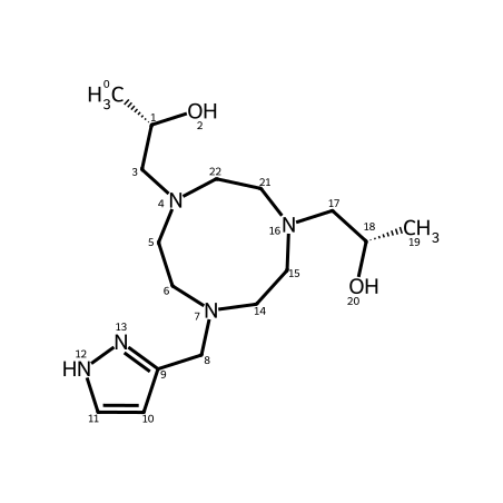 C[C@H](O)CN1CCN(Cc2cc[nH]n2)CCN(C[C@H](C)O)CC1